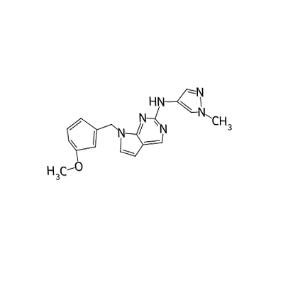 COc1cccc(Cn2ccc3cnc(Nc4cnn(C)c4)nc32)c1